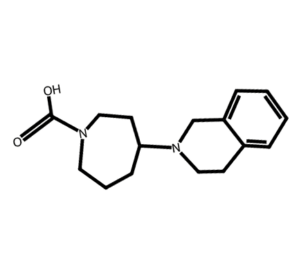 O=C(O)N1CCCC(N2CCc3ccccc3C2)CC1